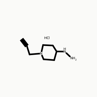 C#CCN1CCC(NN)CC1.Cl